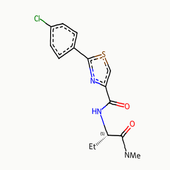 CC[C@H](NC(=O)c1csc(-c2ccc(Cl)cc2)n1)C(=O)NC